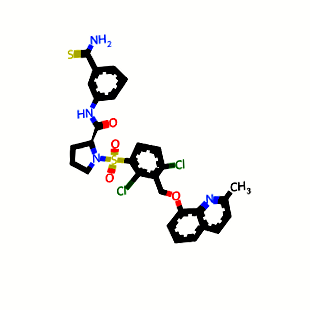 Cc1ccc2cccc(OCc3c(Cl)ccc(S(=O)(=O)N4CCC[C@H]4C(=O)Nc4cccc(C(N)=S)c4)c3Cl)c2n1